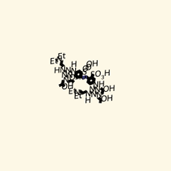 CCN(CC)CCCNc1nc(Nc2ccc(/C=C/c3ccc(Nc4nc(NCCCN(CC)CC)nc(N(CC(C)O)CC(C)O)n4)cc3S(=O)(=O)O)c(SOOO)c2)nc(N(CC(C)O)CC(C)O)n1